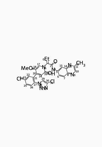 CCC(C(=O)Nc1ccc2ncc(C)nc2c1)n1cc(OC)c(-c2cc(Cl)ccc2-n2cc(Cl)nn2)cc1=O